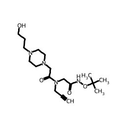 C#CCN(CC(=O)NOC(C)(C)C)C(=O)CN1CCN(CCCO)CC1